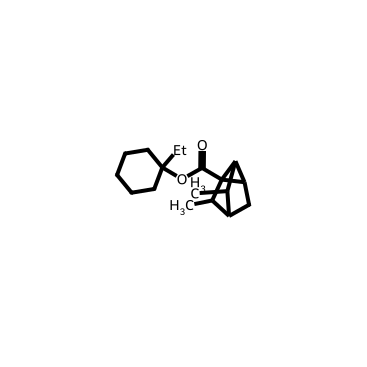 CCC1(OC(=O)C23C(C)C4CC2C3C4C)CCCCC1